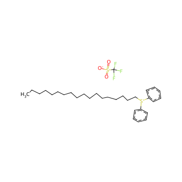 CCCCCCCCCCCCCCCCCC[S+](c1ccccc1)c1ccccc1.O=S(=O)([O-])C(F)(F)F